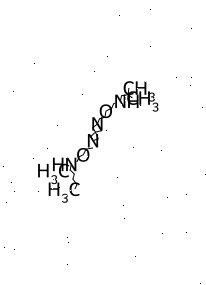 CCCCC(C)NCCOCCN1CC2(CN(CCOCCNCC(C)C)C2)C1